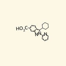 O=C(O)c1ccc2c(C3CCCCC3)n(-c3ccccn3)nc2c1